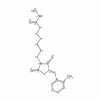 Cc1ccccc1C=C1CC(=O)N(CCCCCCC(=O)NO)C1=O